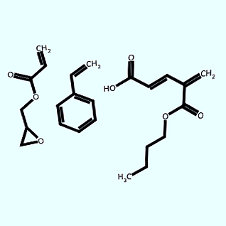 C=C(C=CC(=O)O)C(=O)OCCCC.C=CC(=O)OCC1CO1.C=Cc1ccccc1